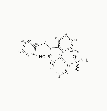 NS(=O)(=O)c1cccc(S(=O)(=O)O)c1-c1c(F)cccc1CCc1ccccc1